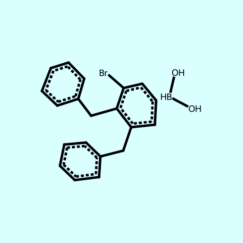 Brc1cccc(Cc2ccccc2)c1Cc1ccccc1.OBO